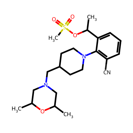 CC1CN(CC2CCN(c3c(C#N)cccc3C(C)OS(C)(=O)=O)CC2)CC(C)O1